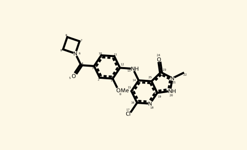 COc1cc(C(=O)N2CCC2)ccc1Nc1cc(Cl)nc2[nH]n(C)c(=O)c12